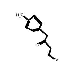 Cc1ccc(CC(=O)CCBr)cc1